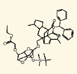 CCOC(=O)COC1C2OC3(OCC45CC6C(C)CCC6C6(C=O)CC4C=C(C(C)C)C65C(=O)OC(c4ccccc4)c4ccccc4)OC2OC1C3O[Si](C)(C)C(C)(C)C